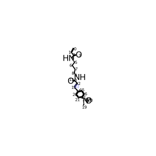 C=CC(=O)NCCCCNC(=O)/C=C/c1ccc([N+](C)=O)cc1